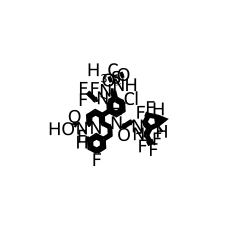 CS(=O)(=O)Nc1nn(CC(F)(F)F)c2c(-c3ccc(NC(=O)O)nc3C(Cc3cc(F)cc(F)c3)NC(=O)Cn3nc(C(F)(F)F)c4c3C(F)(F)[C@@H]3C[C@H]43)ccc(Cl)c12